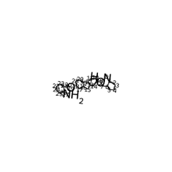 Nc1ccccc1COc1ccc2c(c1)Cc1cc(OCc3ccccc3N)ccc1-2